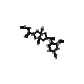 CC(C)(C)OC(=O)N1C[C@H]2CC(Nc3nnc(Cl)cc3C(C)(C)C)C[C@H]2C1